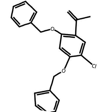 C=C(C)c1cc(Cl)c(OCc2ccccc2)cc1OCc1ccccc1